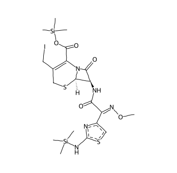 CON=C(C(=O)N[C@@H]1C(=O)N2C(C(=O)O[Si](C)(C)C)=C(CI)CS[C@H]12)c1csc(N[Si](C)(C)C)n1